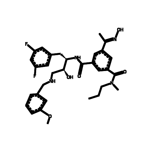 CCCN(C)C(=O)c1cc(C(=O)N[C@@H](Cc2cc(F)cc(F)c2)[C@H](O)CNCc2cccc(OC)c2)cc(/C(C)=N/O)c1